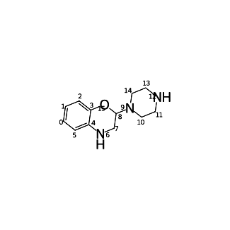 c1ccc2c(c1)NCC(N1CCNCC1)O2